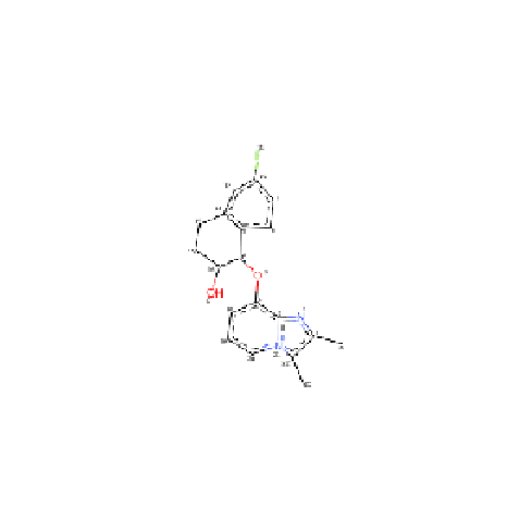 Cc1nc2c(OC3c4ccc(F)cc4CCC3O)cccn2c1C